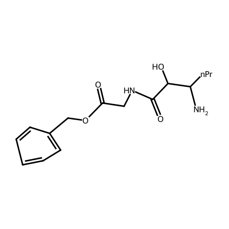 CCCC(N)C(O)C(=O)NCC(=O)OCc1ccccc1